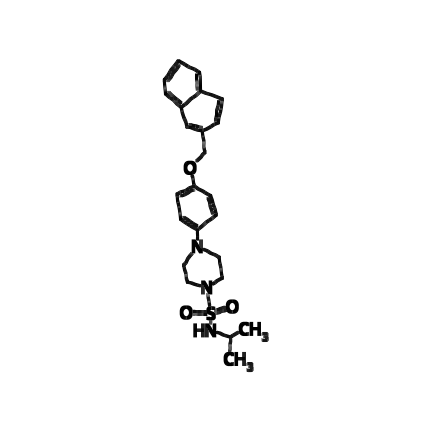 CC(C)NS(=O)(=O)N1CCN(c2ccc(OCc3ccc4ccccc4c3)cc2)CC1